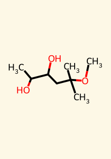 COC(C)(C)CC(O)C(C)O